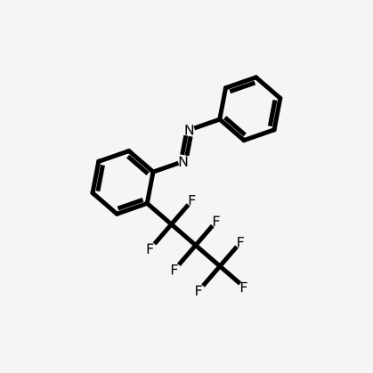 FC(F)(F)C(F)(F)C(F)(F)c1ccccc1N=Nc1ccccc1